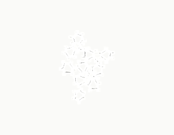 c1ccc(-c2cccc(C3(c4cccc(-c5ccccc5)c4)c4ccccc4-c4ccc(N(c5ccccc5)c5ccc(-n6c7ccccc7c7ccccc76)cc5)cc43)c2)cc1